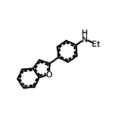 CCNc1ccc(-c2cc3ccccc3o2)cc1